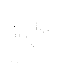 CCC(C)(CC)[NH][Y]([NH]C(C)(CC)CC)[NH]C(C)(CC)CC